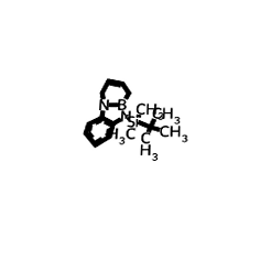 CC(C)(C)[Si](C)(C)N1B2CC=CCN2c2ccccc21